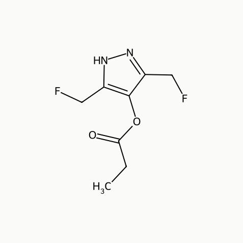 CCC(=O)Oc1c(CF)n[nH]c1CF